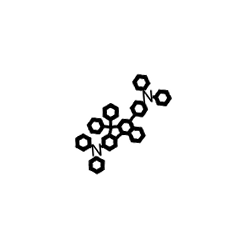 c1ccc(N(c2ccccc2)c2ccc(-c3cc4c(c5ccccc35)-c3ccc(N(c5ccccc5)c5ccccc5)cc3C4(c3ccccc3)c3ccccc3)cc2)cc1